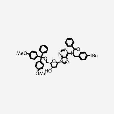 COc1ccc(C(OC[C@H]2O[C@@H](n3cnc4c(N(Cc5ccc(C(C)(C)C)cc5)C(=O)c5ccccc5)ncnc43)C[C@@H]2O)(c2ccccc2)c2ccc(OC)cc2)cc1